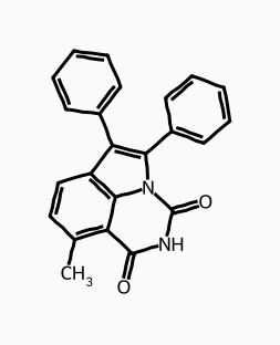 Cc1ccc2c(-c3ccccc3)c(-c3ccccc3)n3c(=O)[nH]c(=O)c1c23